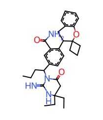 CCCC(c1ccc(C2Cc3ccccc3OC23CCC3)c(C(N)=O)c1)N1C(=N)NC(CC)(CC)CC1=O